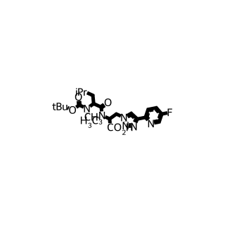 CC(C)CC(C(=O)N(C)C(Cn1cc(-c2ccc(F)cn2)nn1)C(=O)O)N(C)C(=O)OC(C)(C)C